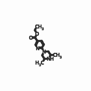 CCOC(=O)c1ccc(N2CC(C)NC(C)C2)nc1